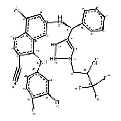 N#Cc1cnc2c(Cl)cc(N[C@H](C3=CN(CC(O)C(F)(F)F)NN3)c3ccccc3)cc2c1Nc1ccc(F)c(Cl)c1